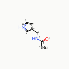 CC(C)(C)C(=O)NCc1cc[nH]c1